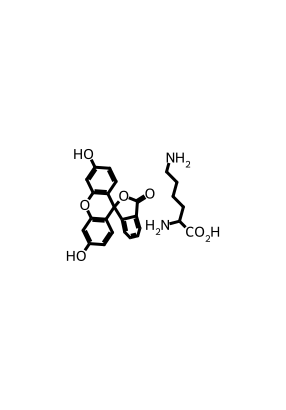 NCCCCC(N)C(=O)O.O=C1OC2(c3ccc(O)cc3Oc3cc(O)ccc32)c2ccccc21